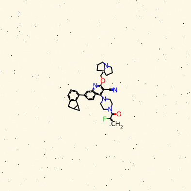 C=C(F)C(=O)N1CCN(c2c(C#N)c(OCC34CCCN3CCC4)nc3cc(-c4cccc5c4C4CC4C5)ccc23)CC1